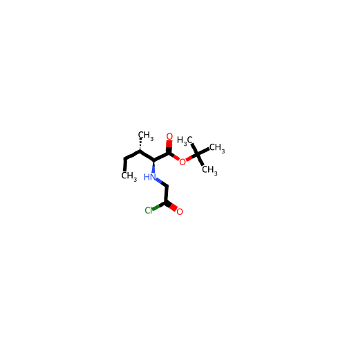 CC[C@H](C)[C@H](NCC(=O)Cl)C(=O)OC(C)(C)C